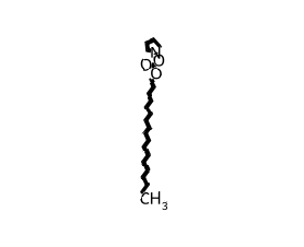 CCCCCCCCCCCCCCCCCCOC(=O)ON1CCCC1